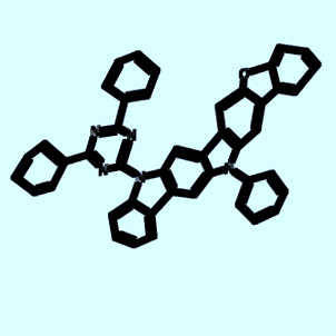 c1ccc(-c2nc(-c3ccccc3)nc(-n3c4ccccc4c4cc5c(cc43)c3cc4oc6ccccc6c4cc3n5-c3ccccc3)n2)cc1